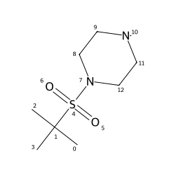 CC(C)(C)S(=O)(=O)N1CC[N]CC1